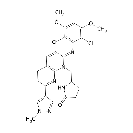 COc1cc(OC)c(Cl)c(/N=c2\ccc3ccc(-c4cnn(C)c4)nc3n2CC2CCC(=O)N2)c1Cl